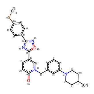 N#CC1CCN(c2cccc(Cn3cc(-c4nc(-c5ccc(SC(F)(F)F)cc5)no4)ccc3=O)c2)CC1